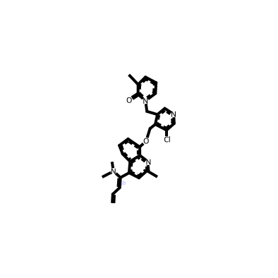 C=C/C=C(/c1cc(C)nc2c(OCc3c(Cl)cncc3Cn3cccc(C)c3=O)cccc12)N(C)C